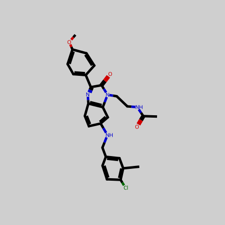 COc1ccc(-c2nc3ccc(NCc4ccc(Cl)c(C)c4)cc3n(CCNC(C)=O)c2=O)cc1